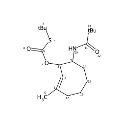 C/C1=C\C(OC(=O)SC(C)(C)C)C(NC(=O)C(C)(C)C)CCCC1